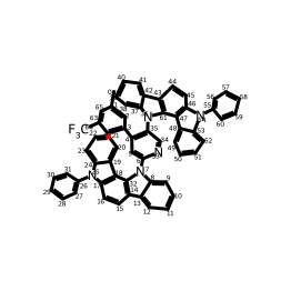 Cc1cc(-c2cc(-n3c4ccccc4c4ccc5c(c6ccccc6n5-c5ccccc5)c43)ncc2-n2c3ccccc3c3ccc4c(c5ccccc5n4-c4ccccc4)c32)cc(C(F)(F)F)c1